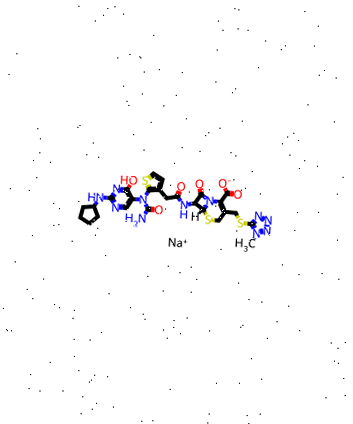 Cn1nnnc1SCC1=C(C(=O)[O-])N2C(=O)C(NC(=O)Cc3ccsc3N(C(N)=O)c3cnc(NC4CCCC4)nc3O)[C@H]2SC1.[Na+]